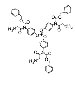 NCC(=O)N(C(=O)OCc1ccccc1)c1ccc(OP(Oc2ccc(N(C(=O)CN)C(=O)OCc3ccccc3)cc2)Oc2ccc(N(C(=O)CN)C(=O)OCc3ccccc3)cc2)cc1